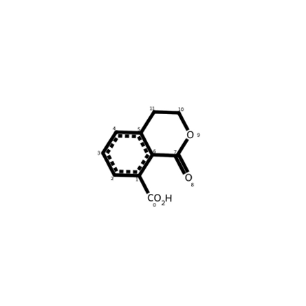 O=C(O)c1cccc2c1C(=O)OCC2